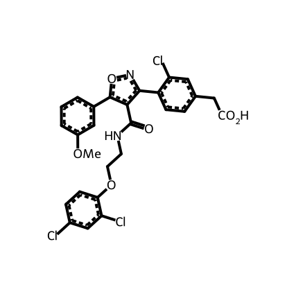 COc1cccc(-c2onc(-c3ccc(CC(=O)O)cc3Cl)c2C(=O)NCCOc2ccc(Cl)cc2Cl)c1